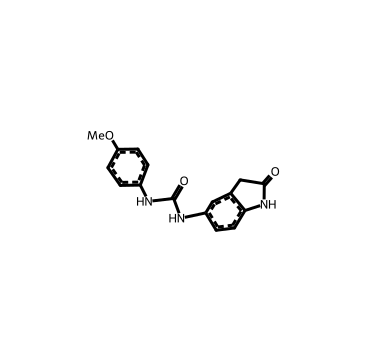 COc1ccc(NC(=O)Nc2ccc3c(c2)CC(=O)N3)cc1